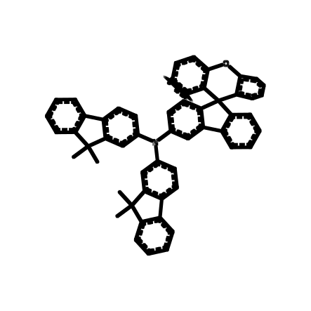 CC1(C)c2ccccc2-c2ccc(N(c3ccc4c(c3)-c3ccccc3C43c4ccccc4Oc4ccc5ccccc5c43)c3ccc4c(c3)C(C)(C)c3ccccc3-4)cc21